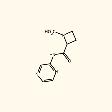 O=C(Nc1cnccn1)C1CCN1C(=O)O